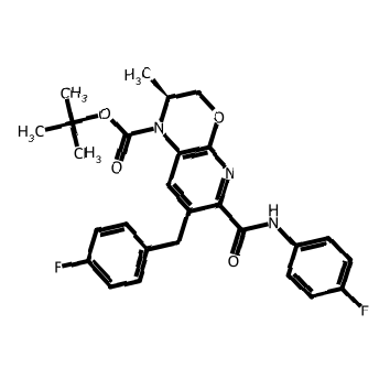 C[C@H]1COc2nc(C(=O)Nc3ccc(F)cc3)c(Cc3ccc(F)cc3)cc2N1C(=O)OC(C)(C)C